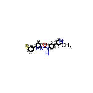 Cc1cc(-c2ccc(NC(=O)Nc3cccc(C4=CC(=S)CC=C4)c3)cc2)ccn1